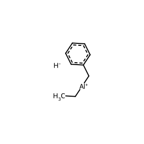 C[CH2][Al+][CH2]c1ccccc1.[H-]